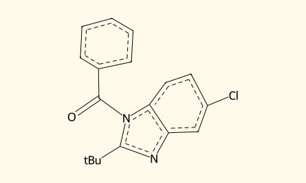 CC(C)(C)c1nc2cc(Cl)ccc2n1C(=O)c1ccccc1